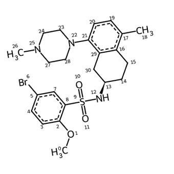 COc1ccc(Br)cc1S(=O)(=O)N[C@@H]1CCc2c(C)ccc(N3CCN(C)CC3)c2C1